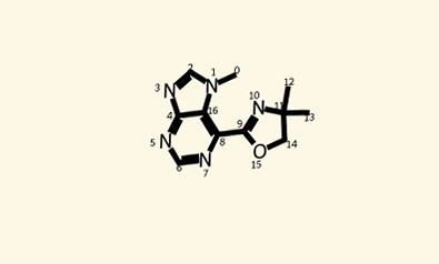 Cn1cnc2ncnc(C3=NC(C)(C)CO3)c21